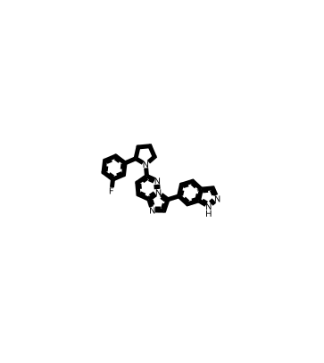 Fc1cccc(C2CCCN2c2ccc3ncc(-c4ccc5cn[nH]c5c4)n3n2)c1